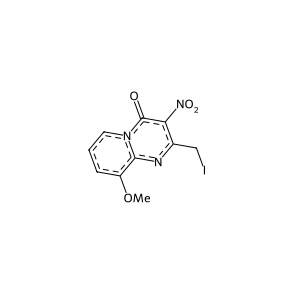 COc1cccn2c(=O)c([N+](=O)[O-])c(CI)nc12